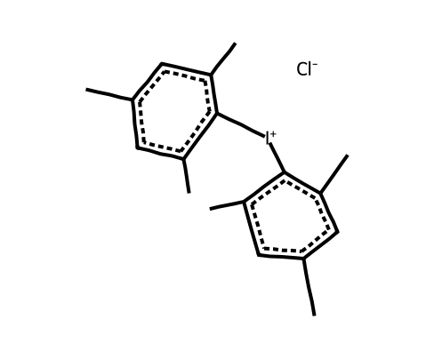 Cc1cc(C)c([I+]c2c(C)cc(C)cc2C)c(C)c1.[Cl-]